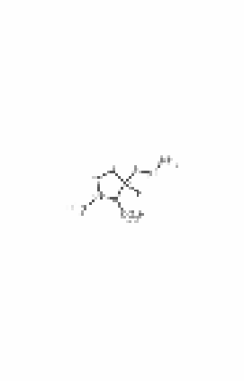 NOCC1(F)CCN(C(=O)O)C1C(=O)O